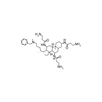 C[C@H](CCCN(C)Cc1ccccc1)[C@H]1CC[C@H]2C3[C@H](NC(=O)CCN)CC4C[C@H](NC(=O)CCN)CCC4(C)[C@H]3C[C@H](NC(=O)CCN)[C@]12C